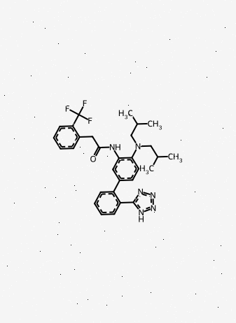 CC(C)CN(CC(C)C)c1ccc(-c2ccccc2-c2nnn[nH]2)cc1NC(=O)Cc1ccccc1C(F)(F)F